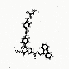 COC(=O)[C@H](CNC(=O)OCC1c2ccccc2-c2ccccc21)NC(=O)c1ccc(C#Cc2ccc(CNC(=O)CN)cc2)cc1